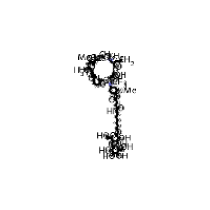 C=CCC1/C=C(\C)C[C@@H](C)C[C@H](OC)[C@H]2O[C@@](O)(C(=O)C(=O)N3CCCCC3C(=O)O[C@H](/C(C)=C/C3CCC(OC(=O)CCC(=O)NCCCCCCOC4OC(CO)C(OC5OC(CO)C(O)C(O)C5O)C(O)C4O)[C@H](OC)C3)[C@H](C)[C@H](O)CC1=O)[C@H](C)CC2OC